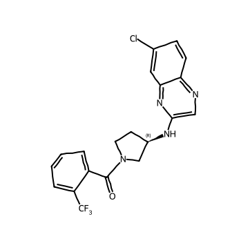 O=C(c1ccccc1C(F)(F)F)N1CC[C@@H](Nc2cnc3ccc(Cl)cc3n2)C1